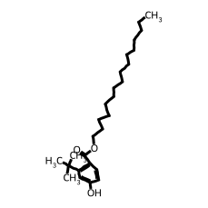 CCCCCCCCCCCCCCCCOC(=O)c1ccc(O)cc1C(C)(C)C